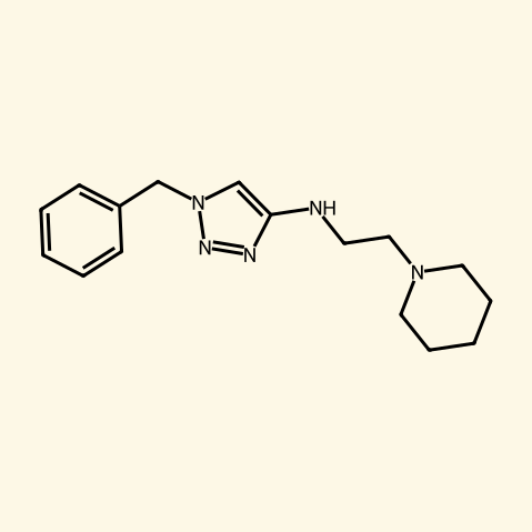 c1ccc(Cn2cc(NCCN3CCCCC3)nn2)cc1